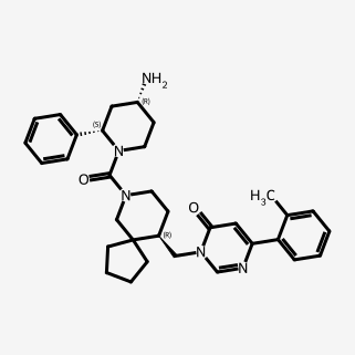 Cc1ccccc1-c1cc(=O)n(C[C@@H]2CCN(C(=O)N3CC[C@@H](N)C[C@H]3c3ccccc3)CC23CCCC3)cn1